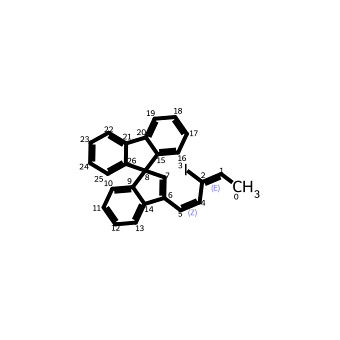 C/C=C(I)\C=C/C1=CC2(c3ccccc31)c1ccccc1-c1ccccc12